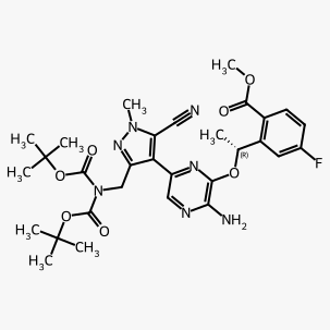 COC(=O)c1ccc(F)cc1[C@@H](C)Oc1nc(-c2c(CN(C(=O)OC(C)(C)C)C(=O)OC(C)(C)C)nn(C)c2C#N)cnc1N